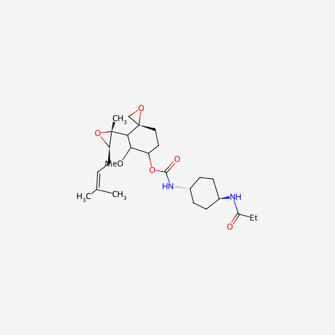 CCC(=O)N[C@H]1CC[C@H](NC(=O)OC2CC[C@]3(CO3)C([C@@]3(C)O[C@@H]3CC=C(C)C)C2OC)CC1